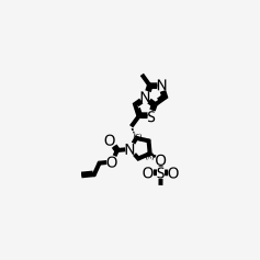 C=CCOC(=O)N1C[C@H](OS(C)(=O)=O)C[C@H]1Cc1cn2c(C)ncc2s1